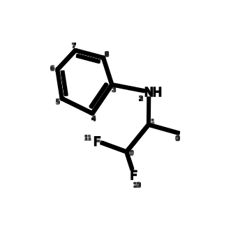 CC(Nc1ccccc1)C(F)F